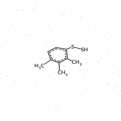 Cc1ccc(SS)c(C)c1C